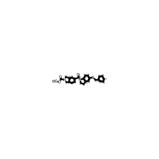 CC(C)(C)OC(=O)N1Cc2ccc(C(=O)N3CCc4cc(SCc5ccccc5)ccc43)cc2C1